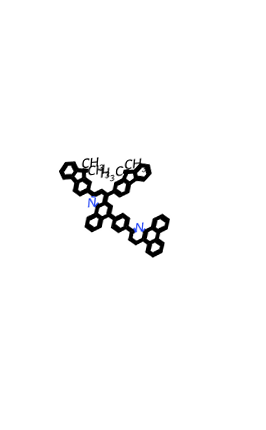 CC1(C)c2ccccc2-c2ccc(-c3cc(-c4ccc5c(c4)C(C)(C)c4ccccc4-5)c4cc(-c5ccc(C6=Nc7c(c8ccccc8c8ccccc78)CC6)cc5)c5ccccc5c4n3)cc21